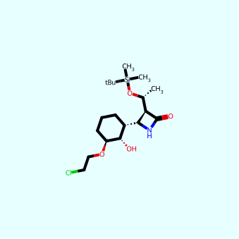 C[C@@H](O[Si](C)(C)C(C)(C)C)[C@H]1C(=O)NC1[C@H]1CCC[C@H](OCCCl)[C@H]1O